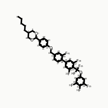 CCCCCC1COC(c2ccc(OCc3ccc(-c4cc(F)c(C(F)(F)Oc5cc(F)c(F)c(F)c5)c(F)c4)c(F)c3)cc2)OC1